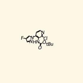 CC(C)(C)OC(=O)Nc1c(-n2cc(F)cn2)ccnc1Cl